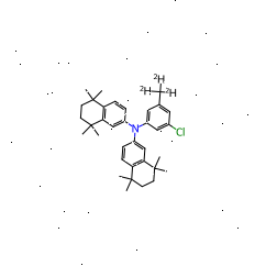 [2H]C([2H])([2H])c1cc(Cl)cc(N(c2ccc3c(c2)C(C)(C)CCC3(C)C)c2ccc3c(c2)C(C)(C)CCC3(C)C)c1